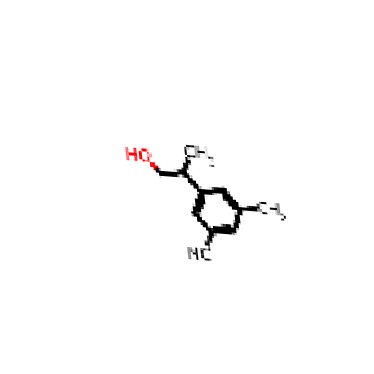 C[C](CO)c1cc(C)cc(C#N)c1